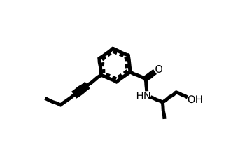 CCC#Cc1cccc(C(=O)NC(C)CO)c1